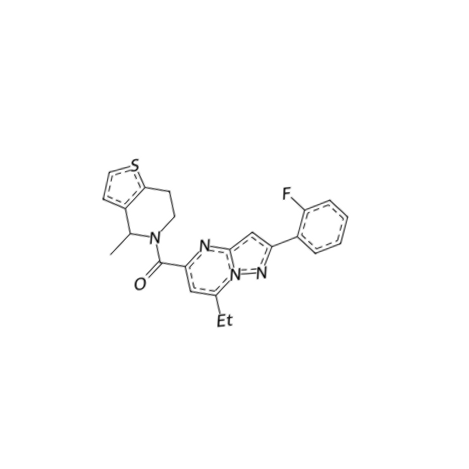 CCc1cc(C(=O)N2CCc3sccc3C2C)nc2cc(-c3ccccc3F)nn12